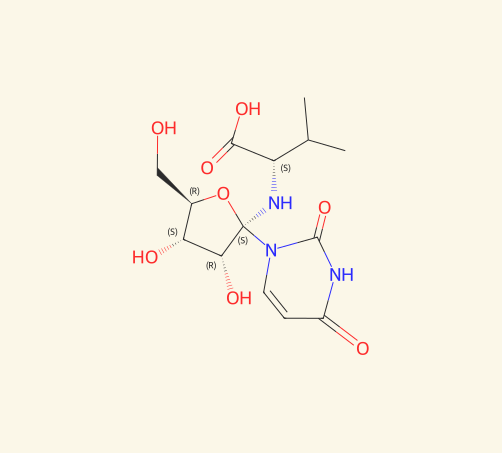 CC(C)[C@H](N[C@@]1(n2ccc(=O)[nH]c2=O)O[C@H](CO)[C@@H](O)[C@H]1O)C(=O)O